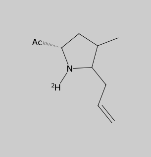 [2H]N1C(CC=C)C(C)C[C@H]1C(C)=O